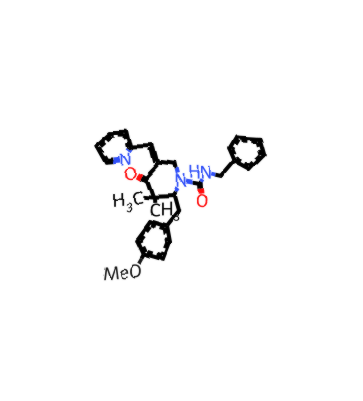 COc1ccc(CC2N(C(=O)NCc3ccccc3)C/C(=C/c3ccccn3)C(=O)C2(C)C)cc1